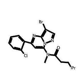 CC(C)CCC(=O)N(C)c1cc(-c2ccccc2Cl)nc2c(Br)cnn12